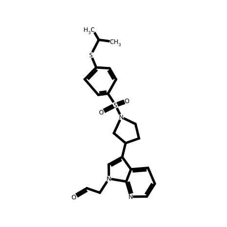 CC(C)Sc1ccc(S(=O)(=O)N2CCC(c3cn(CC=O)c4ncccc34)C2)cc1